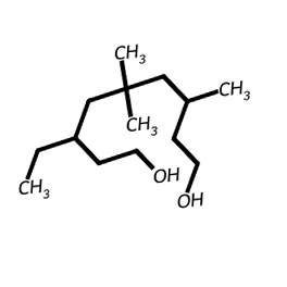 CCC(CCO)CC(C)(C)CC(C)CCO